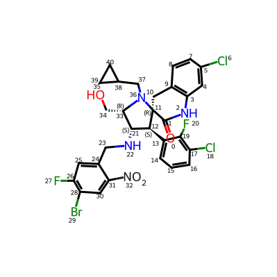 O=C1Nc2cc(Cl)ccc2C[C@@]12[C@@H](c1cccc(Cl)c1F)[C@H](NCc1cc(F)c(Br)cc1[N+](=O)[O-])[C@H](CO)N2CC1CC1